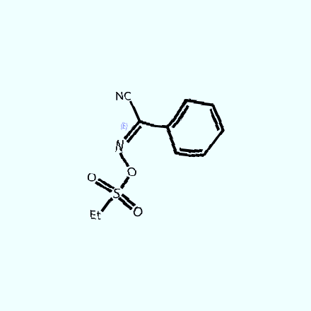 CCS(=O)(=O)O/N=C(/C#N)c1ccccc1